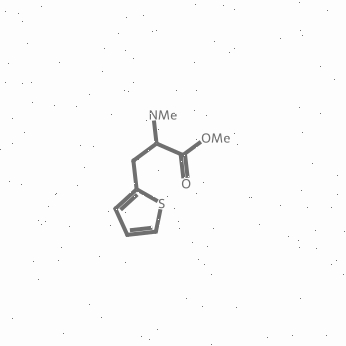 CNC(Cc1cccs1)C(=O)OC